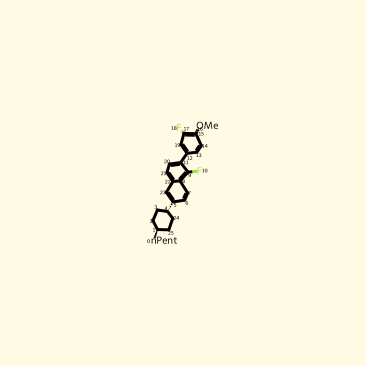 CCCCC[C@H]1CC[C@H](c2ccc3c(F)c(-c4ccc(OC)c(F)c4)ccc3c2)CC1